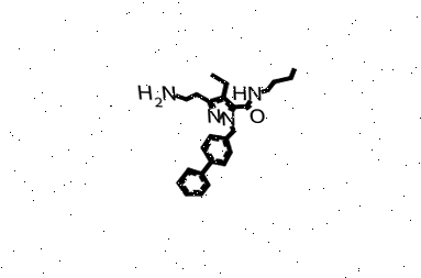 CCCCNC(=O)c1c(CC)c(CCN)nn1Cc1ccc(-c2ccccc2)cc1